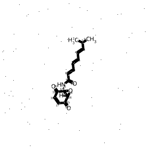 CC(C)C=CC=CC=CC(=O)N[C@]12O[C@@H]1C(=O)C=CC2=O